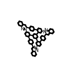 c1ccc(-c2cc(-c3ccccc3-c3ccc(-c4cc5ccccc5nn4)cc3)cc(-c3ccccc3-c3ccc(-c4cc5ccccc5nn4)cc3)c2)c(-c2ccc(-c3cc4ccccc4nn3)cc2)c1